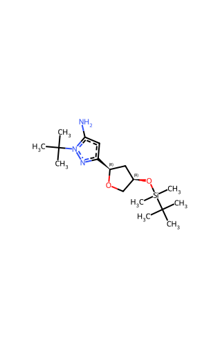 CC(C)(C)n1nc([C@H]2C[C@@H](O[Si](C)(C)C(C)(C)C)CO2)cc1N